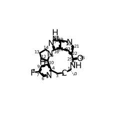 C[C@@H]1CCc2ncc(F)cc2[C@H]2CCCN2c2n[nH]c3ncc(cc23)C(=O)N1